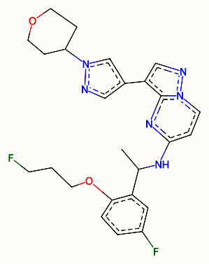 CC(Nc1ccn2ncc(-c3cnn(C4CCOCC4)c3)c2n1)c1cc(F)ccc1OCCCF